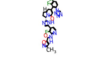 Cc1cc(C(=O)Nc2nccc(-c3cnc([C@@H]4CC[C@@H]5CC(c6c(-n7cnnn7)ccc(Cl)c6F)=CC(=O)N54)[nH]3)c2F)on1